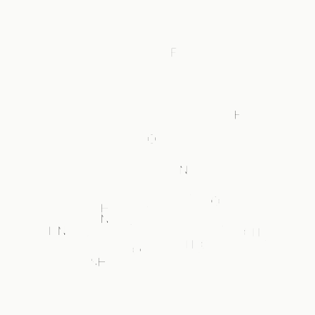 CC(C)Oc1cc(C(=O)NC(=N)S)cc(Oc2cc(F)cc(F)c2)n1